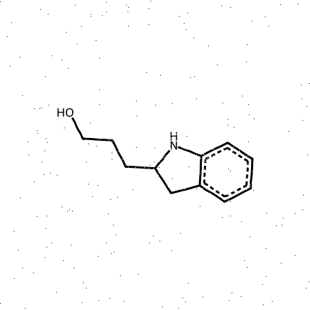 OCCCC1Cc2ccccc2N1